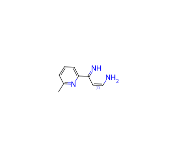 Cc1cccc(C(=N)/C=C\N)n1